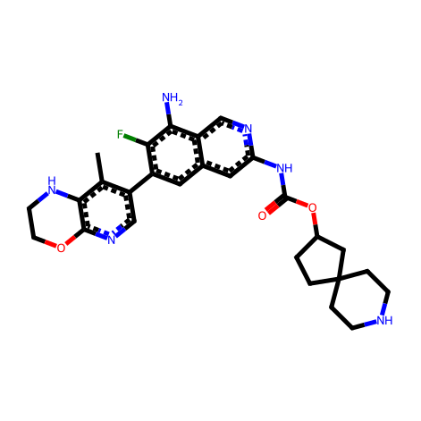 Cc1c(-c2cc3cc(NC(=O)OC4CCC5(CCNCC5)C4)ncc3c(N)c2F)cnc2c1NCCO2